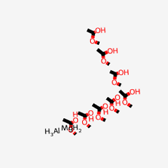 COC(C)O.COC(C)O.COC(C)O.COC(C)O.COC(C)O.COC(C)O.COC(C)O.COC(C)O.[AlH3].[MgH2]